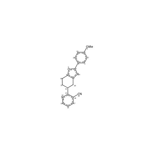 COc1ccc(-c2nc3c(o2)CCC(c2ncccc2C#N)C3)cc1